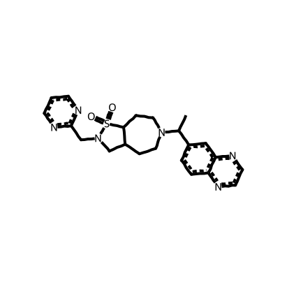 CC(c1ccc2nccnc2c1)N1CCC2CN(Cc3ncccn3)S(=O)(=O)C2CC1